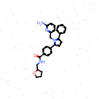 Nc1cccc(Cn2c(-c3ccccc3)ccc2-c2ccc(C(=O)NCC3CCCO3)cc2)n1